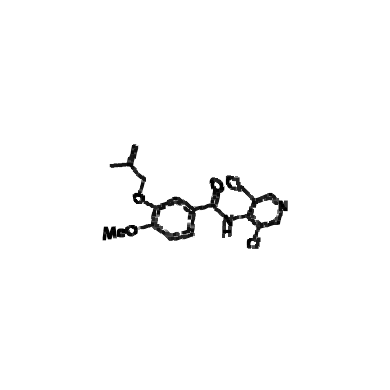 C=C(C)COc1cc(C(=O)Nc2c(Cl)cncc2Cl)ccc1OC